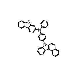 c1ccc(N(c2ccc(-n3c4ccccc4c4c5ccccc5ccc43)cc2)c2ccc3c(c2)sc2ccccc23)cc1